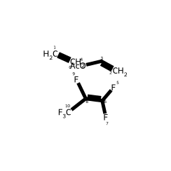 C=C.C=COC(C)=O.FC(F)=C(F)C(F)(F)F